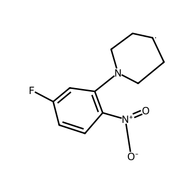 O=[N+]([O-])c1ccc(F)cc1N1CC[CH]CC1